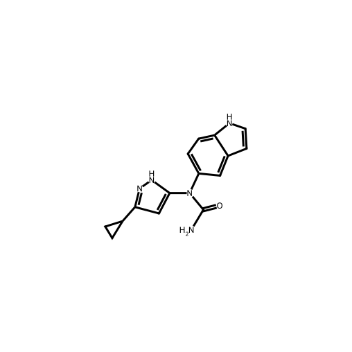 NC(=O)N(c1ccc2[nH]ccc2c1)c1cc(C2CC2)n[nH]1